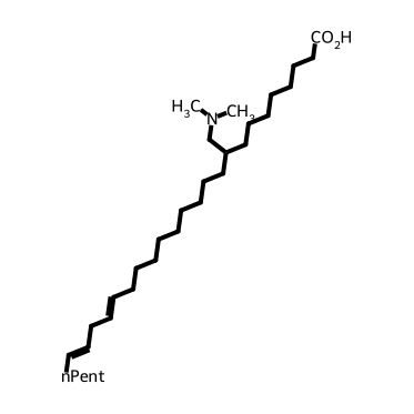 CCCCCC=CCC=CCCCCCCCCCC(CCCCCCCC(=O)O)CN(C)C